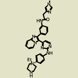 CC[N+]1(c2ccc(Nc3nccc(-c4c(-c5cccc(NC(=O)Cc6cn(C)cn6)c5)nc5ccccn45)n3)cc2)CCNCC1